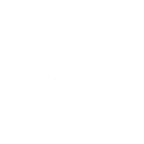 CC[O+](CC)CC.OB(O)O.OB(O)O.OB(O)O.[O-]B(O)O